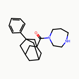 O=C(N1CCCNCC1)C12CC3CC(C1)CC(c1ccccc1)(C3)C2